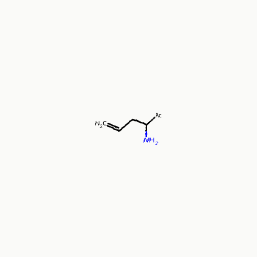 C=CCC(N)C(C)=O